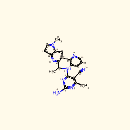 Cc1nc(N)nc(NC(C)c2nc3ccn(C)c3cc2-c2ccccn2)c1C#N